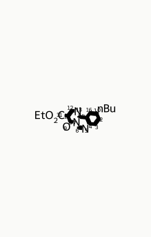 CCCCc1ccc2ncn3c(=O)c(C(=O)OCC)cnc3c2c1